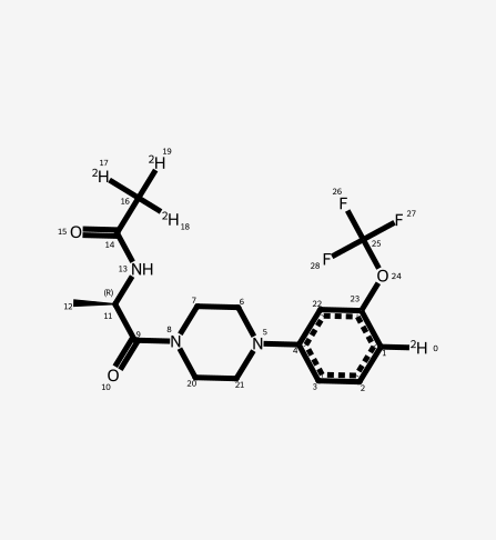 [2H]c1ccc(N2CCN(C(=O)[C@@H](C)NC(=O)C([2H])([2H])[2H])CC2)cc1OC(F)(F)F